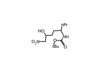 CCCC(CCC(O)C[N+](=O)[O-])NC(=O)OC(C)(C)C